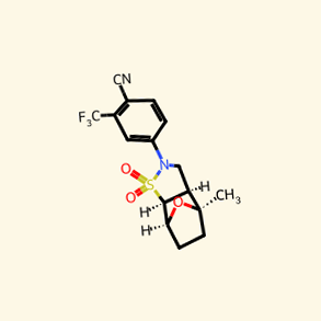 C[C@]12CC[C@H](O1)[C@@H]1[C@H]2CN(c2ccc(C#N)c(C(F)(F)F)c2)S1(=O)=O